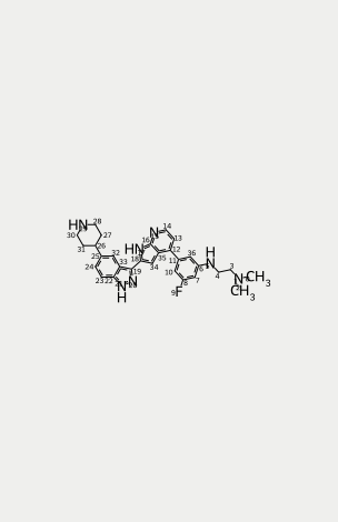 CN(C)CCNc1cc(F)cc(-c2ccnc3[nH]c(-c4n[nH]c5ccc(C6CCNCC6)cc45)cc23)c1